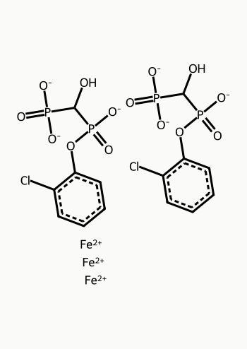 O=P([O-])([O-])C(O)P(=O)([O-])Oc1ccccc1Cl.O=P([O-])([O-])C(O)P(=O)([O-])Oc1ccccc1Cl.[Fe+2].[Fe+2].[Fe+2]